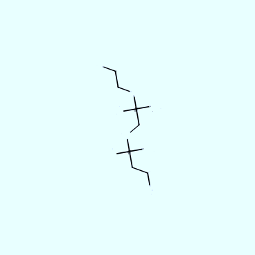 CC(C)(CCS)OCC(C)(C)OCCO